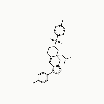 Cc1ccc(S(=O)(=O)N2CCC3=Cc4c(cnn4-c4ccc(F)cc4)C[C@]3(CN(C)C)C2)cc1